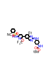 CCc1cc(-c2ccc(NS(=O)(=O)c3ccccc3C#N)nc2OC(F)(F)F)cc2cnc(N[C@H]3CC[C@H](NC(=O)OC(C)(C)C)CC3)nc12